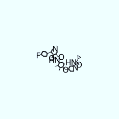 Cc1c(NC(=O)c2cn(C)cc(-c3ccc(F)cc3)c2=O)ccc(Oc2ccnc(NC(=O)C3CC3)c2)c1C